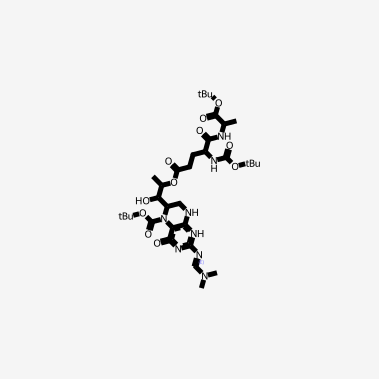 CC(NC(=O)C(CCC(=O)OC(C)C(O)C1CNc2[nH]c(/N=C/N(C)C)nc(=O)c2N1C(=O)OC(C)(C)C)NC(=O)OC(C)(C)C)C(=O)OC(C)(C)C